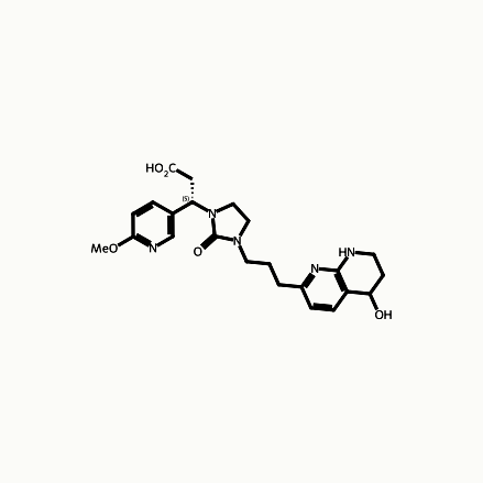 COc1ccc([C@H](CC(=O)O)N2CCN(CCCc3ccc4c(n3)NCCC4O)C2=O)cn1